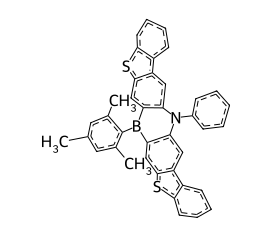 Cc1cc(C)c(B2c3cc4sc5ccccc5c4cc3N(c3ccccc3)c3cc4c(cc32)sc2ccccc24)c(C)c1